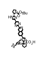 CC(C)(C)OC(=O)N1CCC[C@H]1c1nc(-c2cnc(-c3cc4ccc(-c5cnc([C@@]6(C(C)(C)C)CCCN6C(=O)O)n5COCC[Si](C)(C)C)cc4cn3)nc2)c[nH]1